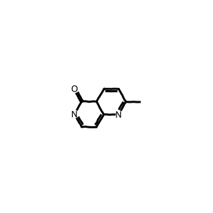 CC1=NC2=CC=NC(=O)C2C=C1